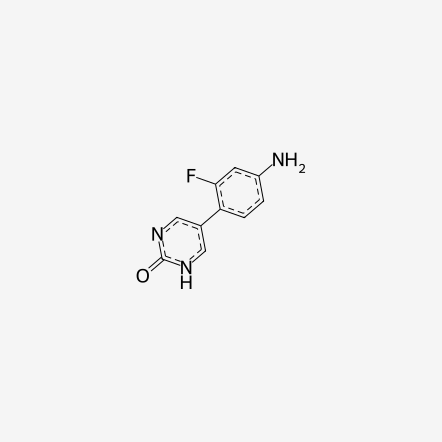 Nc1ccc(-c2cnc(=O)[nH]c2)c(F)c1